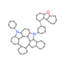 c1ccc(-n2c3cccc4c5ccccc5c5cc6ccccc6c6c5c5c(c43)c2ccc5n6-c2cccc(-c3cccc4oc5ccccc5c34)c2)cc1